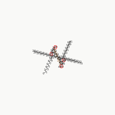 CCCCCCCCCCCCC1(CCCCCCCCCCCC)Oc2cc(C=O)sc2-c2sc(-c3cc4c(s3)-c3sc(OC)cc3OC4(CCCCCCCCCCCC)CCCCCCCCCCCC)cc21